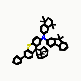 CC1(C)CCC(C)(C)c2cc(N(c3ccc4c(c3)C(C)(C)c3ccccc3-4)c3ccc4c(c3)C3(c5ccc(-c6ccccc6)cc5S4)C4CC5CC6CC3C64C5)ccc21